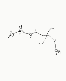 CC(C)(CO)COBO